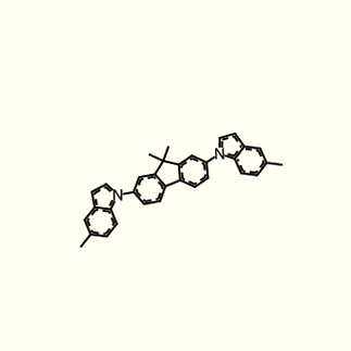 Cc1ccc2c(ccn2-c2ccc3c(c2)C(C)(C)c2cc(-n4ccc5cc(C)ccc54)ccc2-3)c1